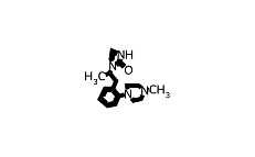 CC(Cc1ccccc1N1CCN(C)CC1)n1cc[nH]c1=O